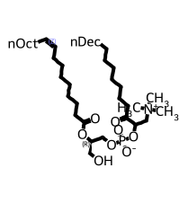 CCCCCCCC/C=C\CCCCCCCC(=O)O[C@H](CO)COP(=O)([O-])OC(C[N+](C)(C)C)C(=O)CCCCCCCCCCCCCCCCC